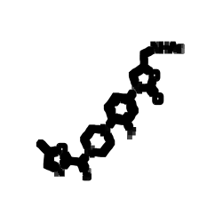 CC(=O)NCC1CN(c2ccc(N3CCN(C(=S)c4ncc(C)o4)CC3)c(F)c2)C(=O)O1